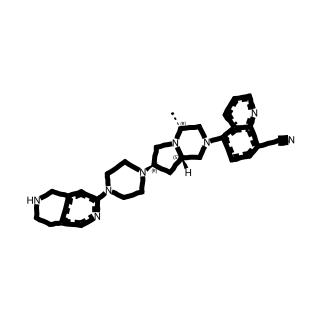 C[C@@H]1CN(c2ccc(C#N)c3ncccc23)C[C@@H]2C[C@@H](N3CCN(c4cc5c(cn4)CCNC5)CC3)CN21